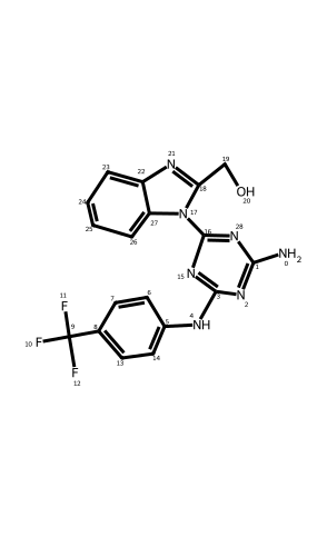 Nc1nc(Nc2ccc(C(F)(F)F)cc2)nc(-n2c(CO)nc3ccccc32)n1